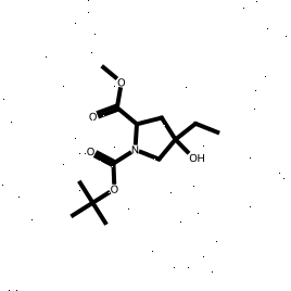 CCC1(O)CC(C(=O)OC)N(C(=O)OC(C)(C)C)C1